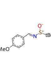 COc1ccc(C=N[S+]([O-])C(C)(C)C)cc1